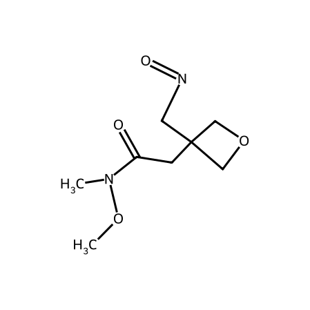 CON(C)C(=O)CC1(CN=O)COC1